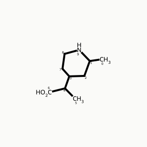 CC1CC(C(C)C(=O)O)CCN1